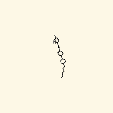 CCCCCCC1CCC(c2ccc(C#Cc3ccc(C)cn3)cc2)CC1